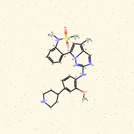 COc1cc(C2CCNCC2)ccc1Nc1ncc2c(C)cc(-c3ccccc3N(C)S(C)(=O)=O)n2n1